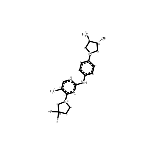 C[C@@H]1CN(c2ccc(Nc3ncc(C(F)(F)F)c(N4CCC(F)(F)C4)n3)cc2)C[C@H]1O